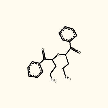 CCCC(OC(CCC)C(=O)c1ccccc1)C(=O)c1ccccc1